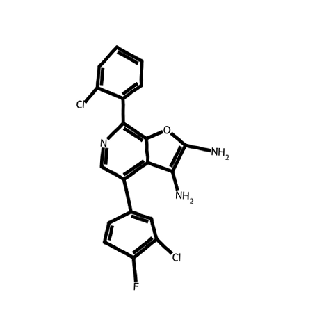 Nc1oc2c(-c3ccccc3Cl)ncc(-c3ccc(F)c(Cl)c3)c2c1N